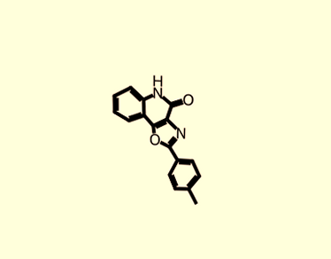 Cc1ccc(-c2nc3c(=O)[nH]c4ccccc4c3o2)cc1